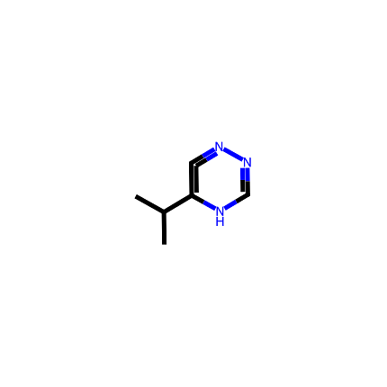 CC(C)C1=C=NN=CN1